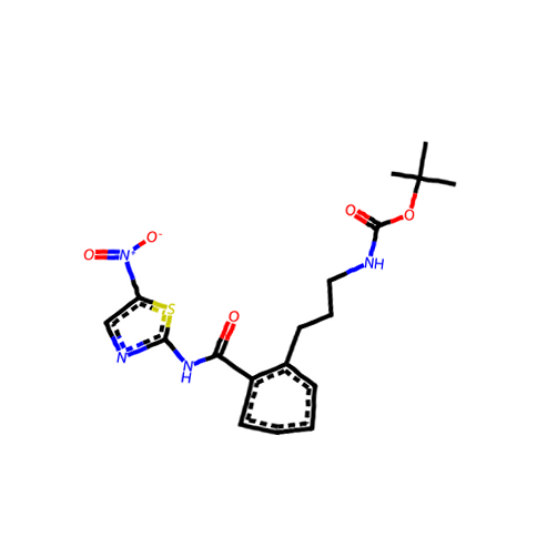 CC(C)(C)OC(=O)NCCCc1ccccc1C(=O)Nc1ncc([N+](=O)[O-])s1